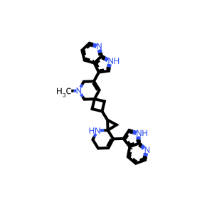 CN1CC(c2c[nH]c3ncccc23)=CC2(CC(C3CC34NCCC=C4c3c[nH]c4ncccc34)C2)C1